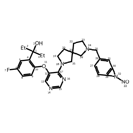 CCC(O)(CC)c1cc(F)ccc1Oc1cncnc1N1CCC2(CCN(Cc3ccc4c(c3)N4N=O)C2)C1